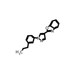 CCCc1cccc(-n2cc(-c3nc4ccccc4o3)cn2)c1